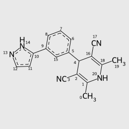 CC1=C(C#N)C(c2cccc(-c3ccn[nH]3)c2)C(C#N)=C(C)N1